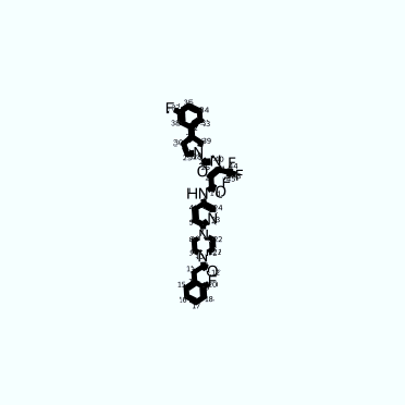 O=C(Nc1ccc(N2CCN(C(=O)Cc3ccccc3F)CC2)nc1)c1oc(N2CCC(c3cccc(F)c3)C2)nc1C(F)(F)F